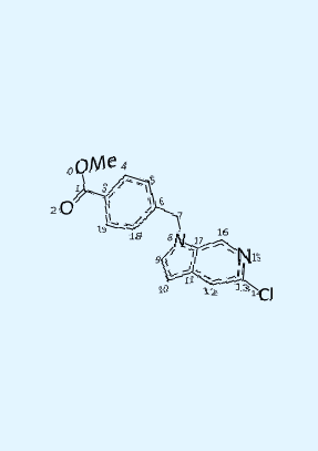 COC(=O)c1ccc(Cn2ccc3cc(Cl)ncc32)cc1